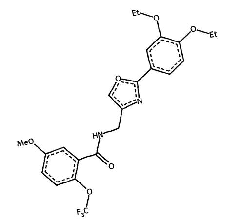 CCOc1ccc(-c2nc(CNC(=O)c3cc(OC)ccc3OC(F)(F)F)co2)cc1OCC